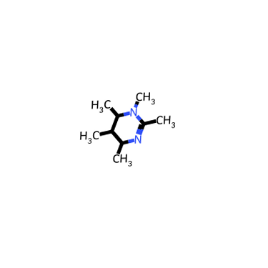 CC1=NC(C)C(C)C(C)N1C